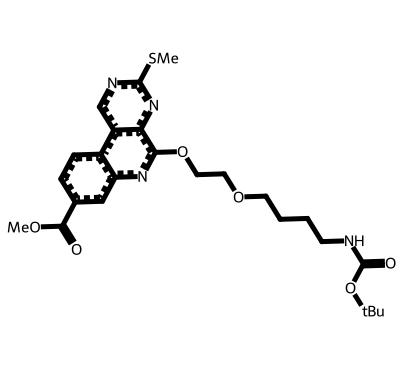 COC(=O)c1ccc2c(c1)nc(OCCOCCCCNC(=O)OC(C)(C)C)c1nc(SC)ncc12